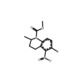 COC(=O)N1c2ccc(F)c([N+](=O)[O-])c2CCC1C